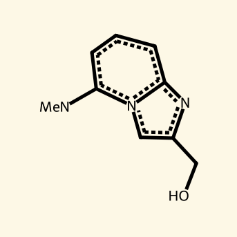 CNc1cccc2nc(CO)cn12